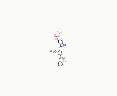 C=C(NS(=C)c1ccccc1C)c1ccc(Cc2c[nH]c3ccc(NC(=O)OC4CCCC4)cc23)c(OC)c1